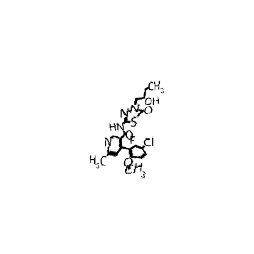 CCC(O)Cn1nc(NC(=O)c2cnc(C)cc2-c2c(OC)ccc(Cl)c2F)sc1=O